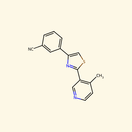 Cc1ccncc1-c1nc(-c2cccc(C#N)c2)cs1